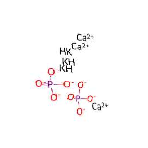 O=P([O-])([O-])[O-].O=P([O-])([O-])[O-].[Ca+2].[Ca+2].[Ca+2].[KH].[KH].[KH]